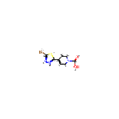 O=C(O)N1CC=C(c2nnc(Br)s2)CC1